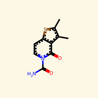 Cc1sc2ccn(C(N)=O)c(=O)c2c1C